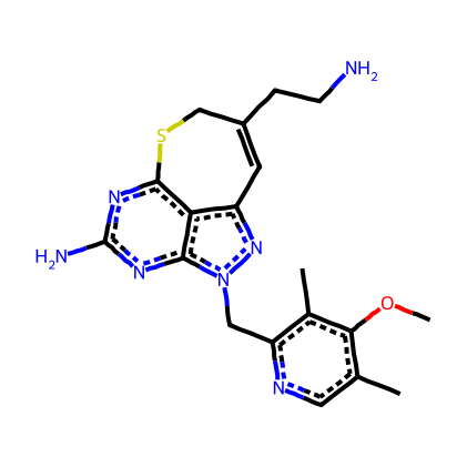 COc1c(C)cnc(Cn2nc3c4c(nc(N)nc42)SCC(CCN)=C3)c1C